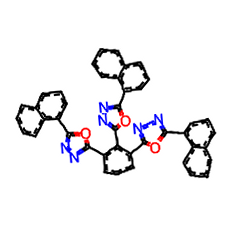 c1cc(-c2nnc(-c3cccc4ccccc34)o2)c(-c2nnc(-c3cccc4ccccc34)o2)c(-c2nnc(-c3cccc4ccccc34)o2)c1